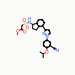 COC(=O)CS(=O)(=O)NC1CCc2c(-c3ccn(-c4ccc(OC(C)C)c(C#N)c4)n3)cccc21